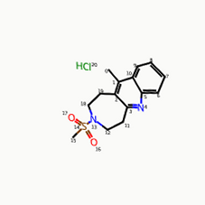 Cc1c2c(nc3ccccc13)CCN(S(C)(=O)=O)CC2.Cl